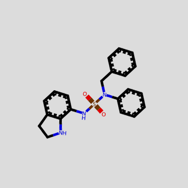 O=S(=O)(Nc1cccc2c1NCC2)N(Cc1ccccc1)c1ccccc1